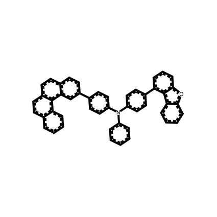 c1ccc(N(c2ccc(-c3ccc4ccc5ccc6ccccc6c5c4c3)cc2)c2ccc(-c3cccc4oc5ccccc5c34)cc2)cc1